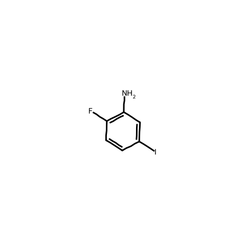 Nc1cc(I)ccc1F